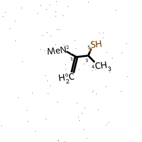 C=C(NC)C(C)S